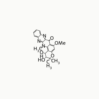 COc1cc2c(c3c1c(=O)c1nc4ccccc4nc1n3C)C(O)C(O)C(C)(C)O2